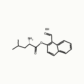 CC(C)C[C@H](N)C(=O)Oc1ccc2ccccc2c1C=O.[KH]